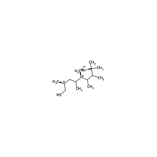 CC[C@H](C)C(C)(C)C(C)C(C)[C@H](C)C(C)C[C@H](C)CS